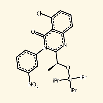 CC(C)[Si](O[C@@H](C)c1nc2cccc(Cl)c2c(=O)n1-c1cccc([N+](=O)[O-])c1)(C(C)C)C(C)C